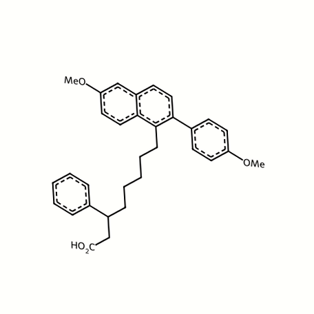 COc1ccc(-c2ccc3cc(OC)ccc3c2CCCCCC(CC(=O)O)c2ccccc2)cc1